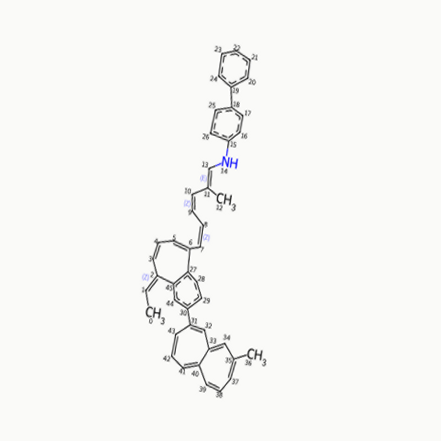 C/C=C1/C=CC=C(\C=C/C=C\C(C)=C\Nc2ccc(-c3ccccc3)cc2)c2ccc(C3=CC4=CC(C)=CC=CC4=CC=C3)cc21